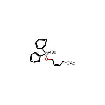 CC(=O)OC/C=C\CO[Si](c1ccccc1)(c1ccccc1)C(C)(C)C